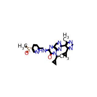 Cc1ncnc(C2CC2)c1-c1ncc2nc(NCc3ccc([S+](C)[O-])cn3)c(=O)n([C@@H](C)C3CC3)c2n1